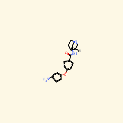 Nc1ccc(Oc2ccc(C(=O)N[C@H]3CN4CCC3CC4)cc2)cc1